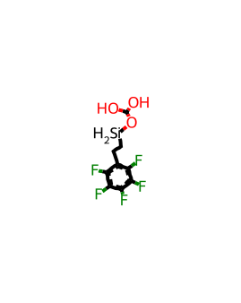 OC(O)O[SiH2]CCc1c(F)c(F)c(F)c(F)c1F